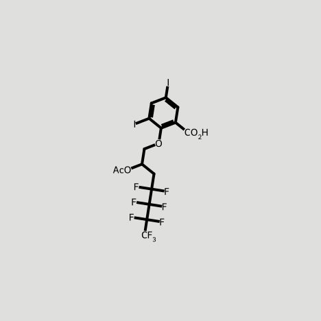 CC(=O)OC(COc1c(I)cc(I)cc1C(=O)O)CC(F)(F)C(F)(F)C(F)(F)C(F)(F)F